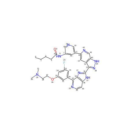 CCCCC(=O)Nc1cncc(-c2cc3c(-c4nc5c(-c6cc(F)cc(OCCN(C)C)c6)nccc5[nH]4)n[nH]c3cn2)c1